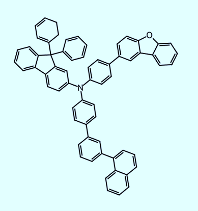 C1=CCCC(C2(c3ccccc3)c3ccccc3-c3ccc(N(c4ccc(-c5cccc(-c6cccc7ccccc67)c5)cc4)c4ccc(-c5ccc6oc7ccccc7c6c5)cc4)cc32)=C1